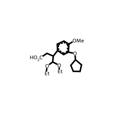 CCOC(OCC)C(CC(=O)O)c1ccc(OC)c(OC2CCCC2)c1